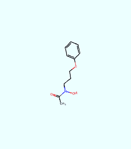 CC(=O)N(O)CCCOc1ccccc1